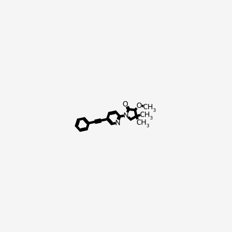 COC1C(=O)N(c2ccc(C#Cc3ccccc3)cn2)CC1(C)C